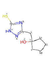 OC1(Cc2n[nH]c(S)n2)CCCC1